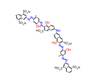 Cc1cc(N=Nc2c(S(=O)(=O)O)cc3cc(Nc4ccc5c(O)c(N=Nc6cc(C)c(N=Nc7cc(S(=O)(=O)O)c8cccc(S(=O)(=O)O)c8c7)cc6O)c(S(=O)(=O)O)cc5c4)ccc3c2O)c(O)cc1N=Nc1cc(S(=O)(=O)O)c2cccc(S(=O)(=O)O)c2c1